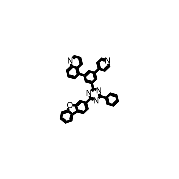 c1ccc(-c2nc(-c3cc(-c4ccncc4)cc(-c4cccc5ncccc45)c3)nc(-c3ccc4c(c3)oc3ccccc34)n2)cc1